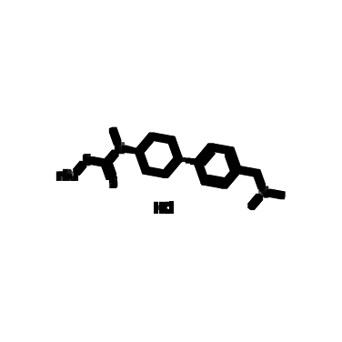 CCCCSC(=S)N(C)[C@H]1CC[C@H](c2ccc(CN(C)C)cc2)CC1.Cl